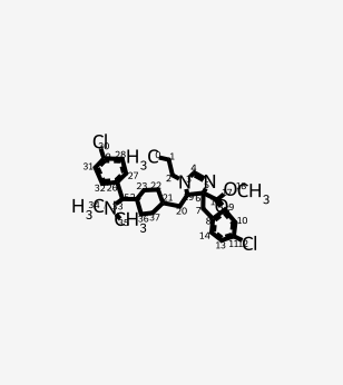 CCCN1C=NC(Cc2ccc(Cl)cc2)(C(=O)OC)C1CC1CCC(C(c2ccc(Cl)cc2)N(C)C)CC1